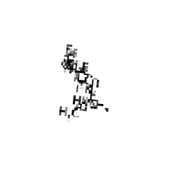 CCONC(C)CNC(=O)c1ccc(-c2noc(C(F)(F)F)n2)c(F)c1